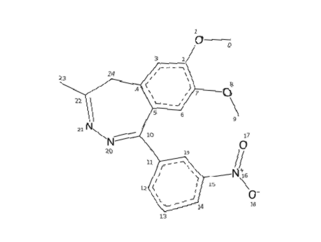 COc1cc2c(cc1OC)C(c1cccc([N+](=O)[O-])c1)=NN=C(C)C2